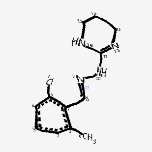 Cc1cccc(Cl)c1/C=N/NC1=NCCCN1